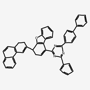 C1=C(c2nc(-c3ccccc3)nc(-c3ccc(-c4ccccc4)cc3)n2)c2c(oc3ccccc23)C(C2=Cc3c(ccc4ccccc34)CC2)C1